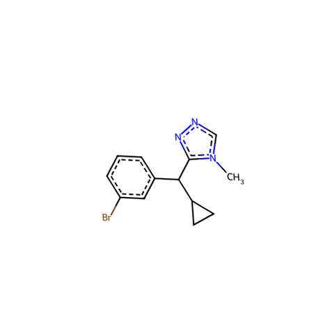 Cn1cnnc1C(c1cccc(Br)c1)C1CC1